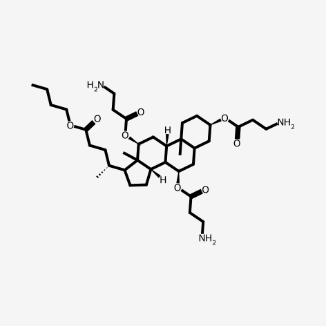 CCCCOC(=O)CC[C@@H](C)C1CC[C@H]2C3[C@H](OC(=O)CCN)CC4C[C@H](OC(=O)CCN)CCC4(C)[C@H]3C[C@H](OC(=O)CCN)C12C